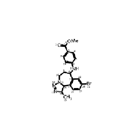 COC(=O)c1ccc(NC2CCN3N=NC(C)C3c3ccc(Br)cc32)cc1